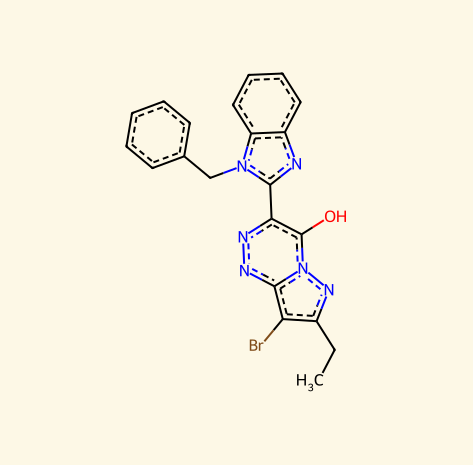 CCc1nn2c(O)c(-c3nc4ccccc4n3Cc3ccccc3)nnc2c1Br